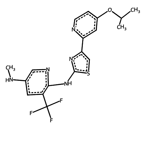 CNc1cnc(Nc2nc(-c3cc(OC(C)C)ccn3)cs2)c(C(F)(F)F)c1